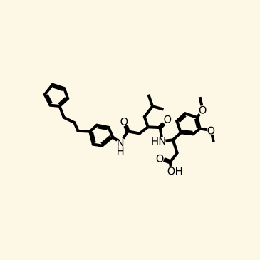 COc1ccc(C(CC(=O)O)NC(=O)C(CC(=O)Nc2ccc(CCCc3ccccc3)cc2)CC(C)C)cc1OC